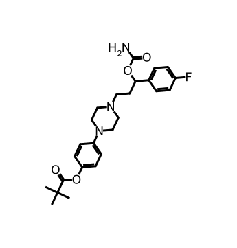 CC(C)(C)C(=O)Oc1ccc(N2CCN(CCC(OC(N)=O)c3ccc(F)cc3)CC2)cc1